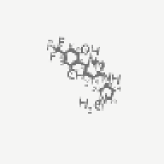 Cc1cc(C(F)(F)F)cc(O)c1-c1ccc(N[C@H]2CCN(C)C2)nn1